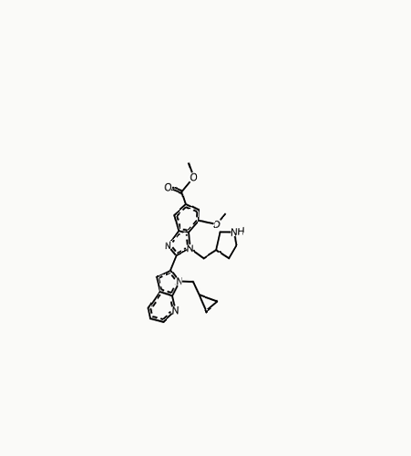 COC(=O)c1cc(OC)c2c(c1)nc(-c1cc3cccnc3n1CC1CC1)n2CC1CCNC1